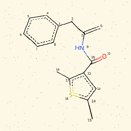 C=C(Cc1ccccc1)NC(=O)c1cc(C)sc1C